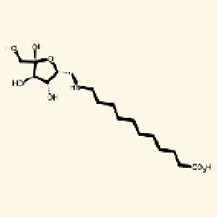 O=C(O)CCCCCCCCCCNC[C@H]1O[C@@](O)(CO)[C@H](O)[C@H]1O